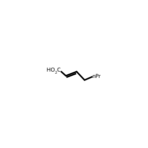 C[CH]CCC=CC(=O)O